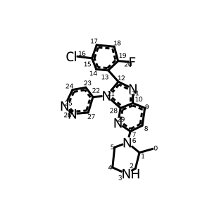 CC1CNCCN1c1ccc2nc(-c3cc(Cl)ccc3F)n(-c3ccnnc3)c2n1